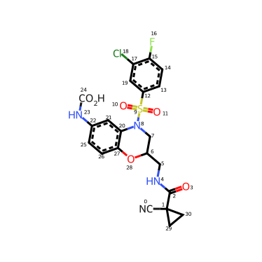 N#CC1(C(=O)NCC2CN(S(=O)(=O)c3ccc(F)c(Cl)c3)c3cc(NC(=O)O)ccc3O2)CC1